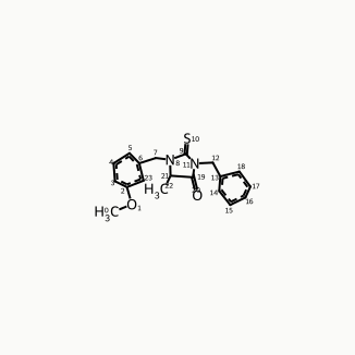 COc1cccc(CN2C(=S)N(Cc3ccccc3)C(=O)C2C)c1